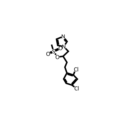 CS(=O)(=O)OC(CCc1ccc(Cl)cc1Cl)Cn1ccnc1